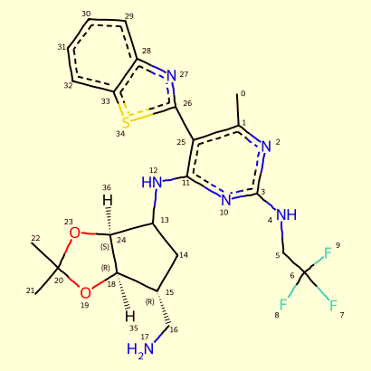 Cc1nc(NCC(F)(F)F)nc(NC2C[C@H](CN)[C@H]3OC(C)(C)O[C@@H]23)c1-c1nc2ccccc2s1